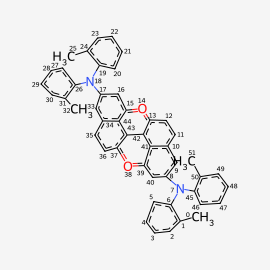 Cc1ccccc1N(c1cc2ccc3oc4cc(N(c5ccccc5C)c5ccccc5C)cc5ccc6oc(c1)c2c3-c6c54)c1ccccc1C